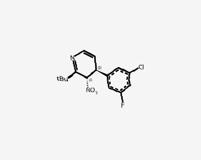 CC(C)(C)C1=NC=C[C@@H](c2cc(F)cc(Cl)c2)[C@@H]1[N+](=O)[O-]